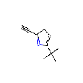 C#CC1=NC(C(C)(C)C)=CC1